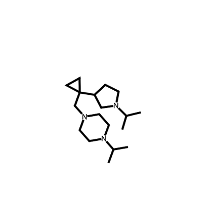 CC(C)N1CCN(CC2(C3CCN(C(C)C)C3)CC2)CC1